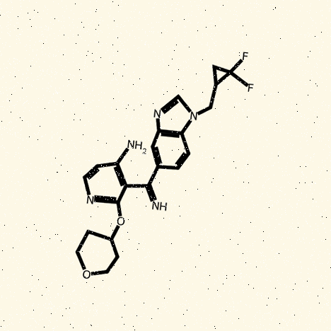 N=C(c1ccc2c(c1)ncn2CC1CC1(F)F)c1c(N)ccnc1OC1CCOCC1